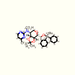 CC1(C)O[C@@H]2[C@H](O1)[C@@H](N(C(=O)O)c1nccc(C(F)(F)F)n1)CO[C@@H]2CO[Si](c1ccccc1)(c1ccccc1)C(C)(C)C